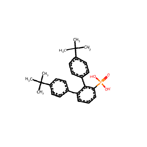 CC(C)(C)c1ccc(-c2cccc(P(=O)(O)O)c2-c2ccc(C(C)(C)C)cc2)cc1